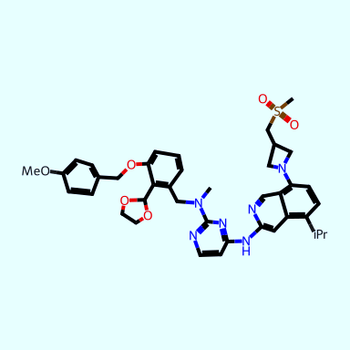 COc1ccc(COc2cccc(CN(C)c3nccc(Nc4cc5c(C(C)C)ccc(N6CC(CS(C)(=O)=O)C6)c5cn4)n3)c2C2OCCO2)cc1